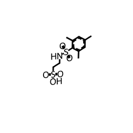 Cc1cc(C)c(S(=O)(=O)NCCS(=O)(=O)O)c(C)c1